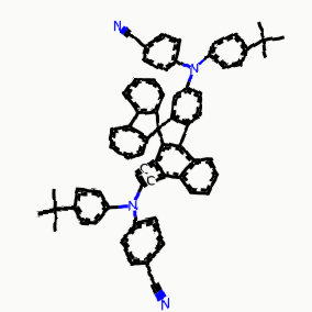 CC(C)(C)c1ccc(N(c2ccc(C#N)cc2)c2ccc3c(c2)C2(c4ccccc4-c4ccccc42)c2c-3c3ccccc3c3cc(N(c4ccc(C#N)cc4)c4ccc(C(C)(C)C)cc4)ccc23)cc1